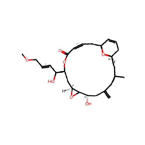 C=C1CC(C)C[C@@H]2CC=CC(C/C=C\C(=O)OC(C(O)/C=C/COC)C[C@@H]3OC3[C@@H](O)C1)O2